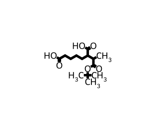 CC(C(=O)OC(C)(C)C)C(CCCCC(=O)O)C(=O)O